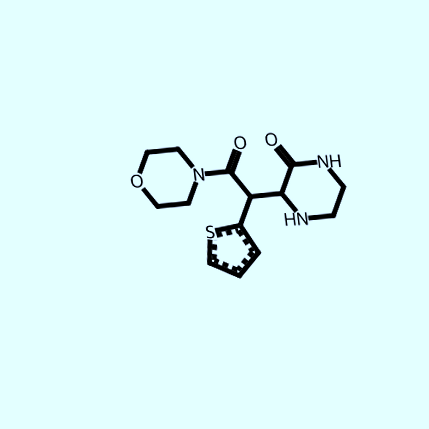 O=C1NCCNC1C(C(=O)N1CCOCC1)c1cccs1